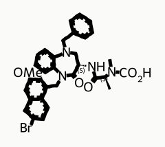 COc1ccc2cc(Br)ccc2c1CN1C(=O)[C@@H](NC(=O)[C@H](C)N(C)C(=O)O)CN(Cc2ccccc2)c2ccccc21